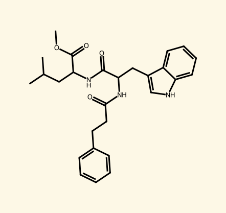 COC(=O)C(CC(C)C)NC(=O)C(Cc1c[nH]c2ccccc12)NC(=O)CCc1ccccc1